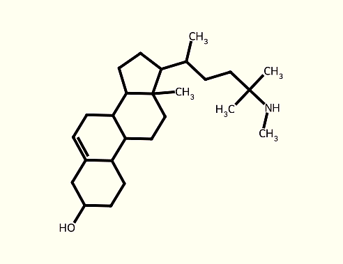 CNC(C)(C)CCC(C)C1CCC2C3CC=C4CC(O)CCC4C3CCC12C